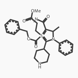 COC(=O)CCS1(C(=O)OCc2ccccc2)=C(C(N)=O)C(C)N(c2ccccc2)C=1C1CCNCC1